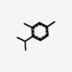 Cc1ccc(C(C)C)c(C)c1